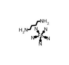 N#[C][Fe]([C]#N)([C]#N)([C]#N)[C]#N.NCCCCN